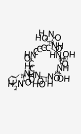 C[C@@H](O)[C@@H]1NC(=O)C(N[C@@H](CO)C(N)=O)CCCCNC(=O)CCC(C(=O)N[C@@H](Cc2ccccc2)C(N)=O)NC(=O)C(CO)NC(=O)[C@H](CO)NC1=O